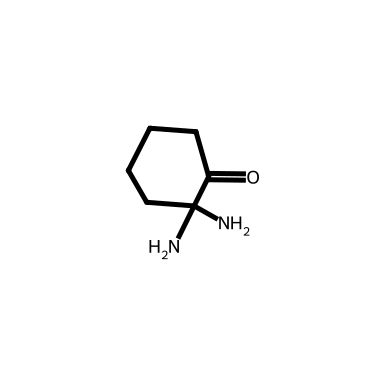 NC1(N)CCCCC1=O